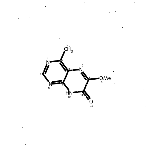 COc1nc2c(C)ncnc2[nH]c1=O